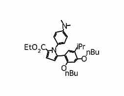 CCCCOc1cc(OCCCC)c(C(C)C)cc1-c1ccc(C(=O)OCC)n1-c1ccc(N(C)C)cc1